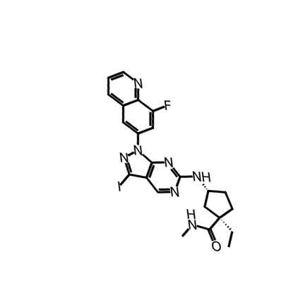 CC[C@@]1(C(=O)NC)CC[C@@H](Nc2ncc3c(I)nn(-c4cc(F)c5ncccc5c4)c3n2)C1